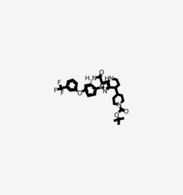 CC(C)(C)OC(=O)N1CCC(C2CCNc3c2nn(-c2ccc(Oc4cccc(C(F)(F)F)c4)cc2)c3C(N)=O)CC1